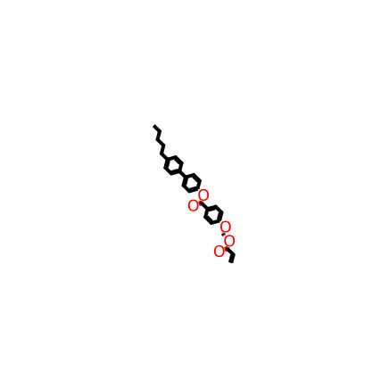 C=CC(=O)OCOc1ccc(C(=O)Oc2ccc(-c3ccc(CCCCC)cc3)cc2)cc1